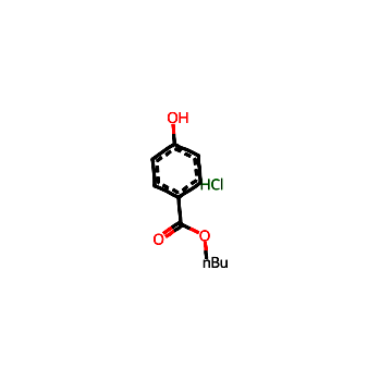 CCCCOC(=O)c1ccc(O)cc1.Cl